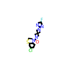 O=C(N1CC2(C1)CN(c1ncc(F)cn1)C2)N1CCSc2cc(Cl)ccc21